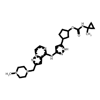 CN1CCN(Cc2cc3c(Nc4cc(C5CCC(OC(=O)NC6(C)CC6)C5)[nH]n4)nccn3n2)CC1